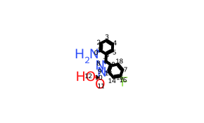 Nc1ccccc1-c1nn(C(=O)O)c2cc(F)ccc12